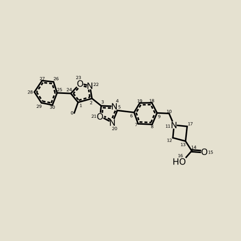 Cc1c(-c2nc(-c3ccc(CN4CC(C(=O)O)C4)cc3)no2)noc1-c1ccccc1